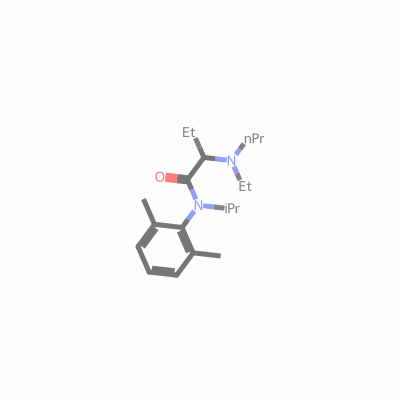 CCCN(CC)C(CC)C(=O)N(c1c(C)cccc1C)C(C)C